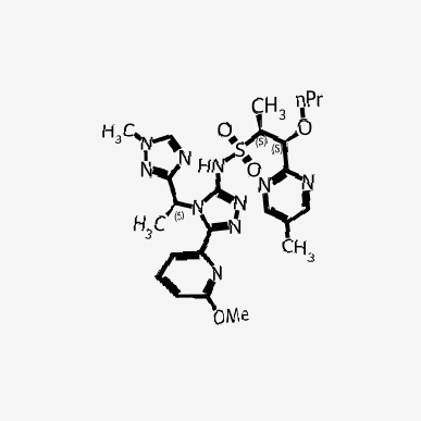 CCCO[C@@H](c1ncc(C)cn1)[C@H](C)S(=O)(=O)Nc1nnc(-c2cccc(OC)n2)n1[C@@H](C)c1ncn(C)n1